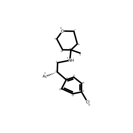 CC(=O)[C@H](CNC1(C)CCOCC1)c1ccc(Cl)cc1